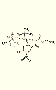 CCOC(=O)c1cn([C@H](CO[Si](C)(C)C(C)(C)C)C(C)(C)C)c2cc(C)c([N+](=O)[O-])cc2c1=O